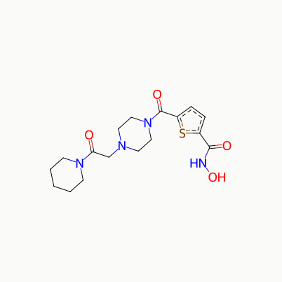 O=C(NO)c1ccc(C(=O)N2CCN(CC(=O)N3CCCCC3)CC2)s1